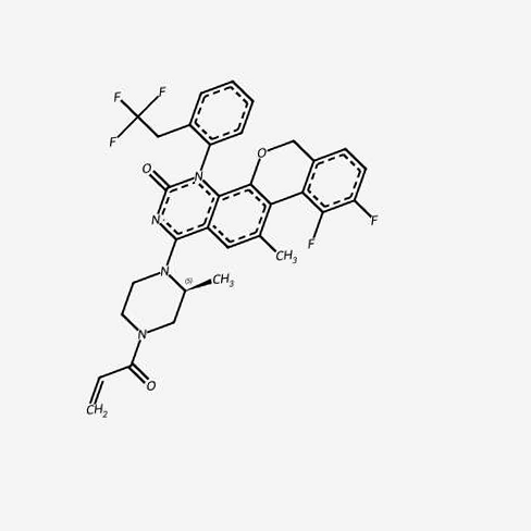 C=CC(=O)N1CCN(c2nc(=O)n(-c3ccccc3CC(F)(F)F)c3c4c(c(C)cc23)-c2c(ccc(F)c2F)CO4)[C@@H](C)C1